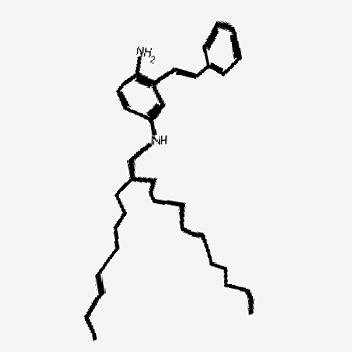 CCCCCCCCCCC(CCCCCCCC)CNc1ccc(N)c(C=Cc2ccccc2)c1